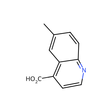 Cc1ccc2nccc(C(=O)O)c2c1